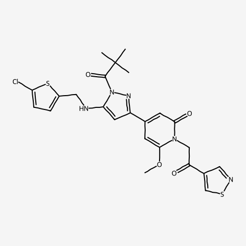 COc1cc(-c2cc(NCc3ccc(Cl)s3)n(C(=O)C(C)(C)C)n2)cc(=O)n1CC(=O)c1cnsc1